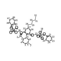 C=C(C)c1ccc(C)cc1-c1c(OCOP(=O)(OC)Oc2ccccc2)cc(CCCCC)cc1OCOP(=O)(OC)Oc1ccccc1